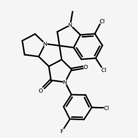 CN1CC2(c3cc(Cl)cc(Cl)c31)C1C(=O)N(c3cc(F)cc(Cl)c3)C(=O)C1C1CCCN12